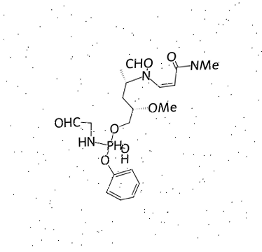 CNC(=O)/C=C\N(C=O)[C@@H](C)C[C@@H](CO[PH](O)(NCC=O)Oc1ccccc1)OC